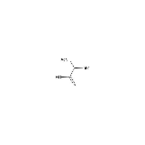 CCCC(NC(C)=O)C(O)=S